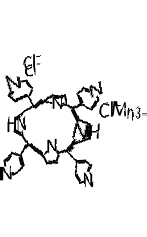 C1=Cc2nc1c(-c1ccncc1)c1ccc([nH]1)c(-c1ccncc1)c1nc(c(-c3ccncc3)c3ccc([nH]3)c2-c2ccncc2)C=C1.[Cl-].[Cl-].[Cl-].[Mn+3]